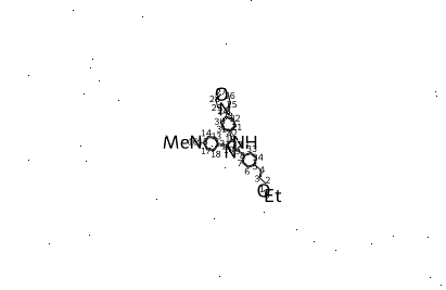 CCOC/C=C/c1ccc(-c2nc(-c3ccc(NC)cc3)c(-c3ccc(N4CCOCC4)cc3)[nH]2)cc1